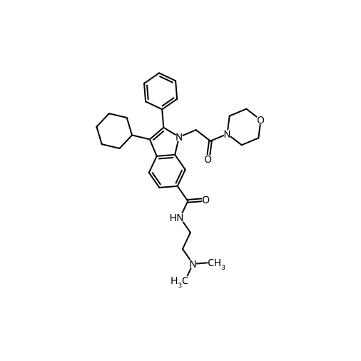 CN(C)CCNC(=O)c1ccc2c(C3CCCCC3)c(-c3ccccc3)n(CC(=O)N3CCOCC3)c2c1